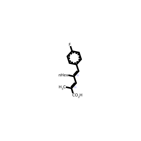 CCCCCCC(=C\c1ccc(F)cc1)/C=C(\C)C(=O)O